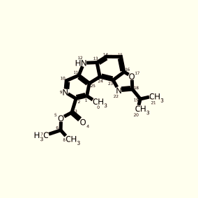 Cc1c(C(=O)OC(C)C)ncc2[nH]c3ccc4oc(C(C)C)nc4c3c12